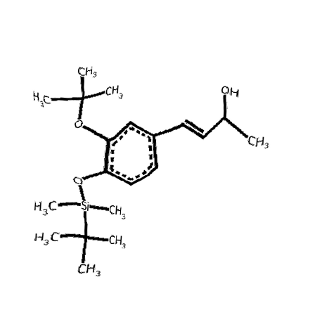 CC(O)/C=C/c1ccc(O[Si](C)(C)C(C)(C)C)c(OC(C)(C)C)c1